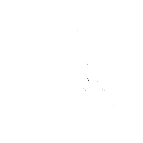 O=C(OCc1ccccc1)c1ccc(N(Cc2cnc(Cl)cn2)C(=O)[C@H]2CCN2Sc2c(F)c(F)c(F)c(F)c2F)cc1OCc1ccccc1